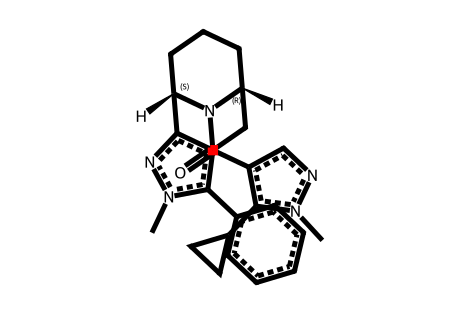 Cn1nc2c(c1-c1ccccc1)C[C@H]1CCC[C@@H]2N1C(=O)c1cnn(C)c1C1CC1